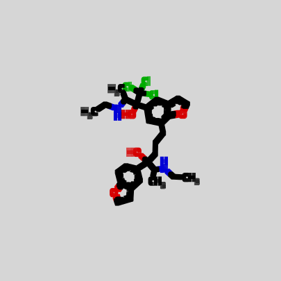 CCNC(C)C(O)(CCCc1cc(C(O)(C(C)NCC)C(Cl)(Cl)Cl)cc2ccoc12)c1ccc2occc2c1